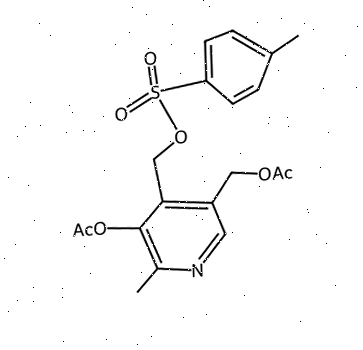 CC(=O)OCc1cnc(C)c(OC(C)=O)c1COS(=O)(=O)c1ccc(C)cc1